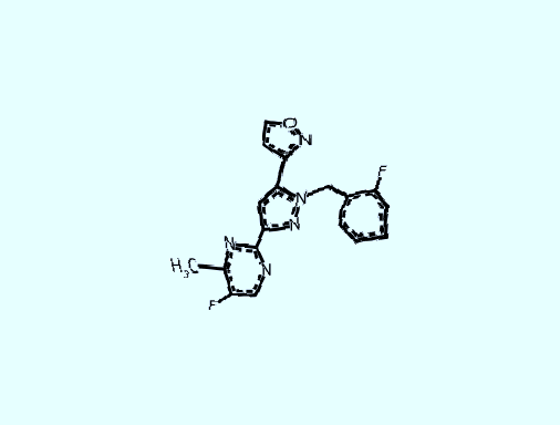 Cc1nc(-c2cc(-c3ccon3)n(Cc3ccccc3F)n2)ncc1F